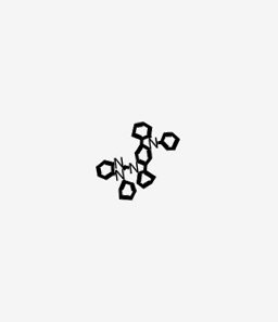 c1ccc(-n2c(-n3c4ccccc4c4cc5c(cc43)c3ccccc3n5-c3ccccc3)nc3ccccc32)cc1